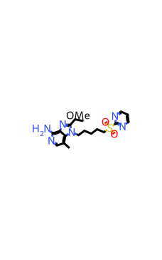 COCCc1nc2c(N)ncc(C)c2n1CCCCCS(=O)(=O)c1ncccn1